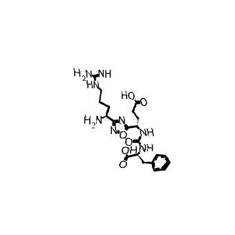 N=C(N)NCCC[C@H](N)c1noc([C@H](CCC(=O)O)NC(=O)N[C@@H](Cc2cc#ccc2)C(=O)O)n1